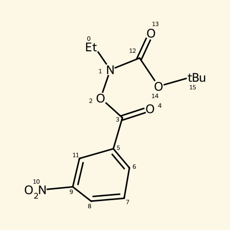 CCN(OC(=O)c1cccc([N+](=O)[O-])c1)C(=O)OC(C)(C)C